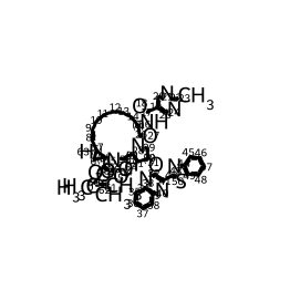 CCOC(=O)[C@@]12C[C@H]1C=CCCCCC[C@H](NC(=O)c1cnc(C)nc1)C(=O)N1C[C@H](Oc3nc4ccccc4nc3-c3nc4ccccc4s3)C[C@H]1C(=O)N2C(=O)OC(C)(C)C